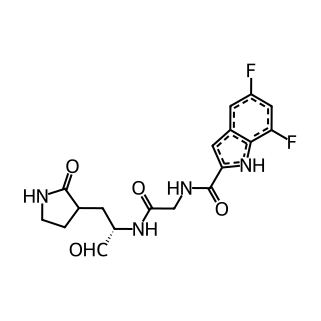 O=C[C@H](CC1CCNC1=O)NC(=O)CNC(=O)c1cc2cc(F)cc(F)c2[nH]1